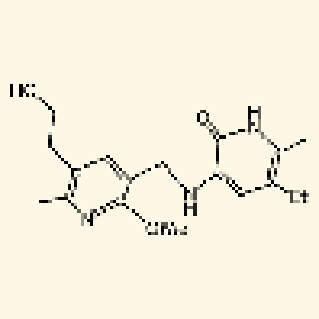 CCc1cc(NCc2cc(CCO)c(C)nc2OC)c(=O)[nH]c1C